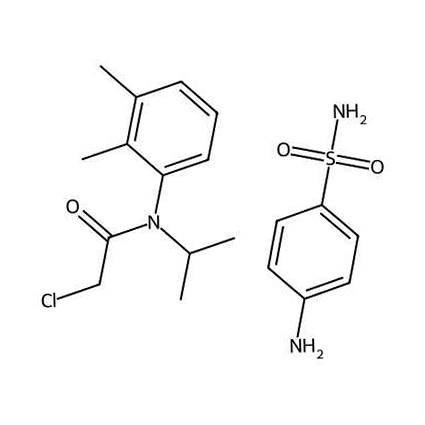 Cc1cccc(N(C(=O)CCl)C(C)C)c1C.Nc1ccc(S(N)(=O)=O)cc1